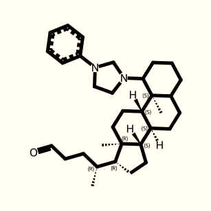 C[C@H](CCC=O)[C@H]1CC[C@H]2[C@@H]3CCC4CCCC(N5CCN(c6ccccc6)C5)[C@]4(C)[C@H]3CC[C@]12C